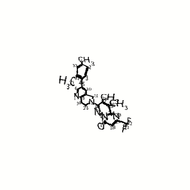 Cc1ccc(-c2cnc3c(c2)CN(c2nn4c(=O)cc(C(F)F)nc4c(C)c2C)CC3)c(C)c1